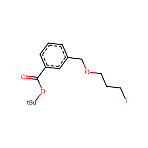 CC(C)(C)OC(=O)c1cccc(COCCCI)c1